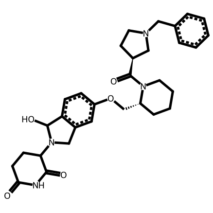 O=C1CCC(N2Cc3cc(OC[C@H]4CCCCN4C(=O)[C@H]4CCN(Cc5ccccc5)C4)ccc3C2O)C(=O)N1